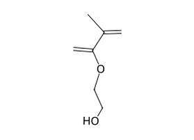 C=C(C)C(=C)OCCO